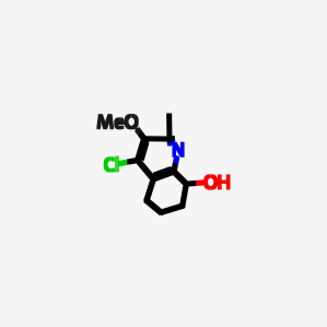 COc1c(C)nc2c(c1Cl)CCCC2O